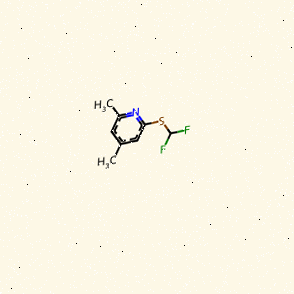 Cc1cc(C)nc(SC(F)F)c1